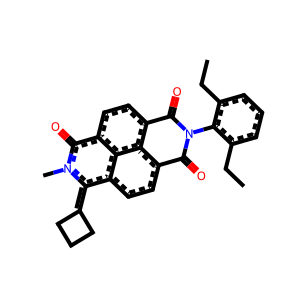 CCc1cccc(CC)c1N1C(=O)c2ccc3c(=O)n(C)c(=C4CCC4)c4ccc(c2c34)C1=O